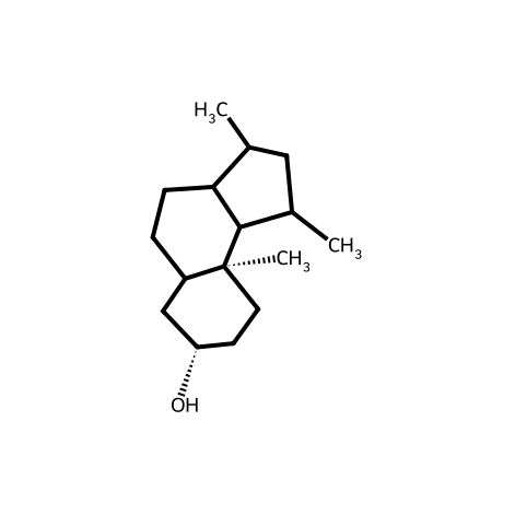 CC1CC(C)C2C1CCC1C[C@@H](O)CC[C@@]12C